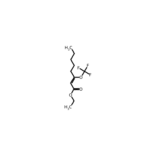 CCCCCC(=CC(=O)OCC)OC(F)(F)F